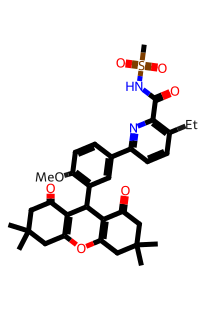 CCc1ccc(-c2ccc(OC)c(C3C4=C(CC(C)(C)CC4=O)OC4=C3C(=O)CC(C)(C)C4)c2)nc1C(=O)NS(C)(=O)=O